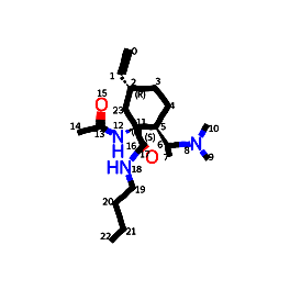 C=C[C@@H]1CC[C@@H](C(C)N(C)C)[C@@](NC(C)=O)(C(=O)NCCCC)C1